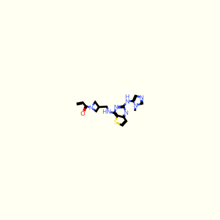 C=CC(=O)N1CC(CNc2nc(Nc3cncn3C)nc3ccsc23)C1